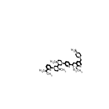 CSc1ncc(CN2CCN(C)CC2)cc1CC(C)c1ccc(N2CCN(C)C(C3CN(c4cccc(C(C)C)n4)CCN3C)C2)cn1